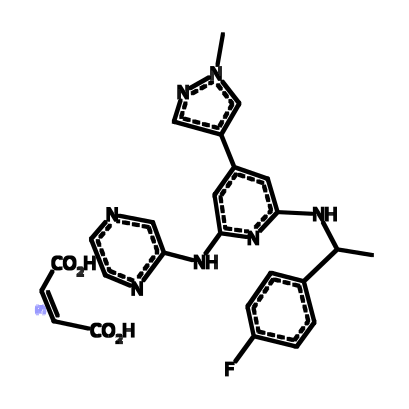 CC(Nc1cc(-c2cnn(C)c2)cc(Nc2cnccn2)n1)c1ccc(F)cc1.O=C(O)/C=C\C(=O)O